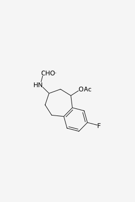 CC(=O)OC1CC(N[C]=O)CCc2ccc(F)cc21